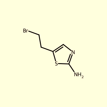 Nc1ncc(CCBr)s1